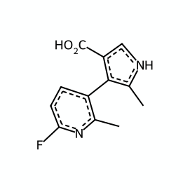 Cc1nc(F)ccc1-c1c(C(=O)O)c[nH]c1C